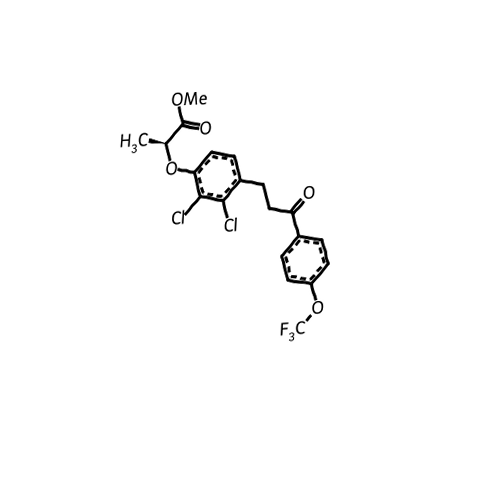 COC(=O)[C@H](C)Oc1ccc(CCC(=O)c2ccc(OC(F)(F)F)cc2)c(Cl)c1Cl